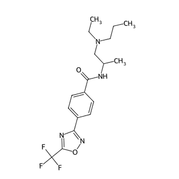 CCCN(CC)CC(C)NC(=O)c1ccc(-c2noc(C(F)(F)F)n2)cc1